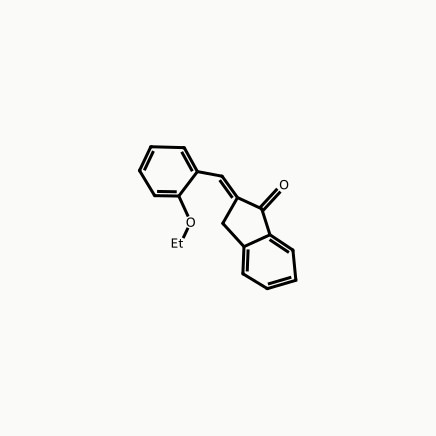 CCOc1ccccc1/C=C1\Cc2ccccc2C1=O